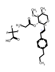 CCCc1ccc(/C=C/[C@@H]2OC[C@H](C)[C@H](OC)[C@H]2OC(=O)CN)cc1.O=C(O)C(F)(F)F